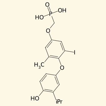 Cc1cc(OCP(=O)(O)O)cc(I)c1Oc1ccc(O)c(C(C)C)c1